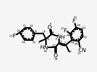 CC(=C1NC(=O)C(C)(Cc2ccc(F)cc2)NC1=O)c1c(C#N)ccc(F)c1F